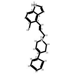 Fc1ccc2[nH]ccc2c1C=CCN1CC=C(c2ccccc2)CC1